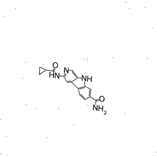 NC(=O)c1ccc2c(c1)[nH]c1cnc(NC(=O)C3CC3)cc12